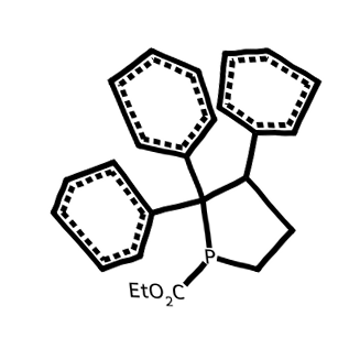 CCOC(=O)P1CCC(c2ccccc2)C1(c1ccccc1)c1ccccc1